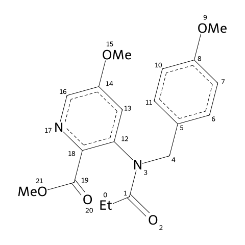 CCC(=O)N(Cc1ccc(OC)cc1)c1cc(OC)cnc1C(=O)OC